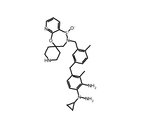 Cc1ccc(Cc2ccc(N(N)C3CC3)c(N)c2C)cc1CN1CC2(CCNCC2)Oc2ncccc2[S+]1[O-]